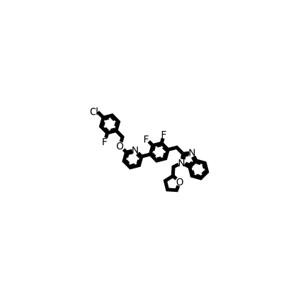 Fc1cc(Cl)ccc1COc1cccc(-c2ccc(Cc3nc4ccccc4n3CC3CCCO3)c(F)c2F)n1